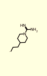 [CH2]CCC1CCN(C(=N)N)CC1